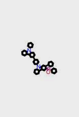 O=P1(c2ccccc2)c2ccccc2-c2cc3c(cc21)c1ccccc1n3-c1ccc(-c2ccc3c(c2)c2ccccc2n3-c2ccccc2)cc1